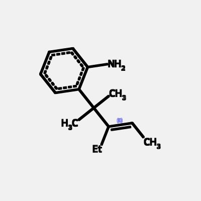 C/C=C(\CC)C(C)(C)c1ccccc1N